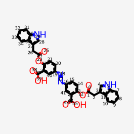 O=C(Cc1c[nH]c2ccccc12)Oc1ccc(/N=N/c2ccc(OC(=O)Cc3c[nH]c4ccccc34)c(C(=O)O)c2)cc1C(=O)O